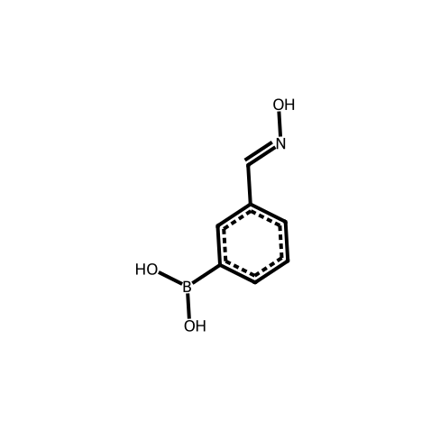 ON=Cc1cccc(B(O)O)c1